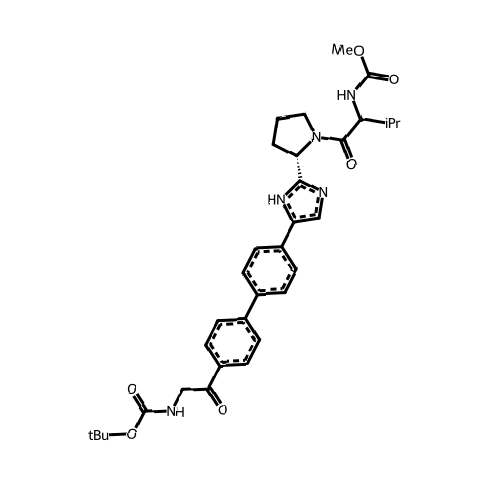 COC(=O)NC(C(=O)N1CCC[C@H]1c1ncc(-c2ccc(-c3ccc(C(=O)CNC(=O)OC(C)(C)C)cc3)cc2)[nH]1)C(C)C